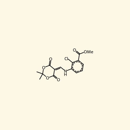 COC(=O)c1cccc(NC=C2C(=O)OC(C)(C)OC2=O)c1Cl